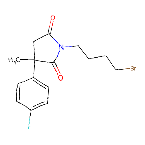 CC1(c2ccc(F)cc2)CC(=O)N(CCCCBr)C1=O